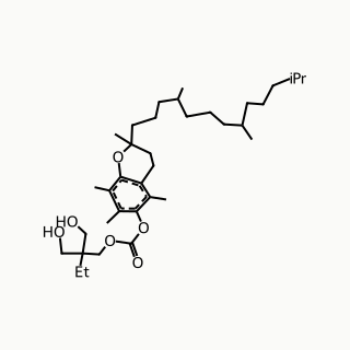 CCC(CO)(CO)COC(=O)Oc1c(C)c(C)c2c(c1C)CCC(C)(CCCC(C)CCCC(C)CCCC(C)C)O2